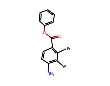 CC(C)c1c(N)ccc(C(=O)Oc2ccccc2)c1C(C)C